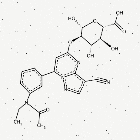 CCN(C(C)=O)c1cccc(-c2cc(O[C@@H]3[C@@H](O)[C@H](O)[C@@H](C(=O)O)O[C@H]3O)nc3c(C#N)cnn23)c1